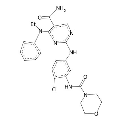 CCN(c1ccccc1)c1nc(Nc2ccc(Cl)c(NC(=O)N3CCOCC3)c2)ncc1C(N)=O